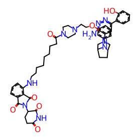 Nc1nnc(-c2ccccc2O)cc1N1CC2CCC(C1)N2c1cccc(OCCN2CCN(C(=O)CCCCCCCCNc3cccc4c3C(=O)N(C3CCC(=O)NC3=O)C4=O)CC2)c1